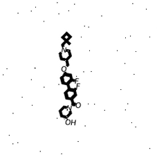 CC1(CN2CCC(COc3ccc(-c4ccc(C(=O)N5CCC[C@@H](O)C5)cc4F)c(F)c3)CC2)CCC1